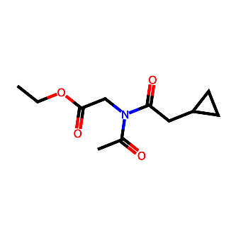 CCOC(=O)CN(C(C)=O)C(=O)CC1CC1